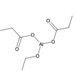 CC[O][Al]([O]C(=O)CC)[O]C(=O)CC